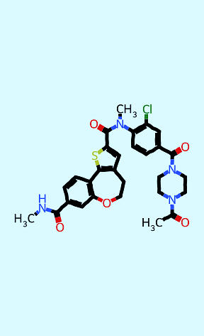 CNC(=O)c1ccc2c(c1)OCCc1cc(C(=O)N(C)c3ccc(C(=O)N4CCN(C(C)=O)CC4)cc3Cl)sc1-2